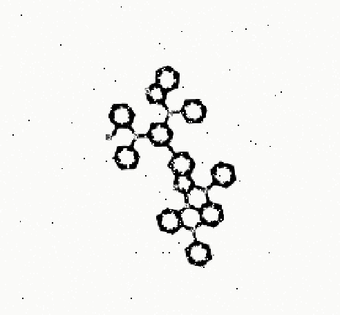 Brc1ccccc1N(c1ccccc1)c1cc(-c2ccc3c4c(sc3c2)B2c3ccccc3N(c3ccccc3)c3cccc(c32)N4c2ccccc2)cc(N(c2ccccc2)c2csc3ccccc23)c1